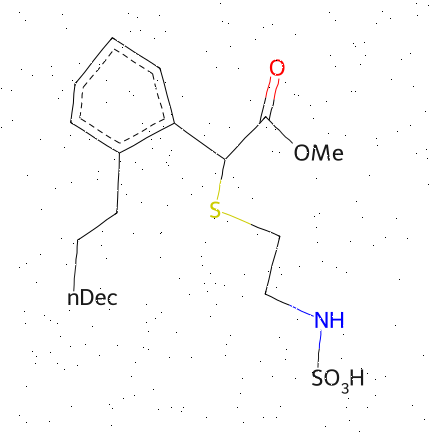 CCCCCCCCCCCCc1ccccc1C(SCCNS(=O)(=O)O)C(=O)OC